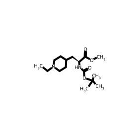 CCN1CCC(C[C@H](NC(=O)OC(C)(C)C)C(=O)OC)CC1